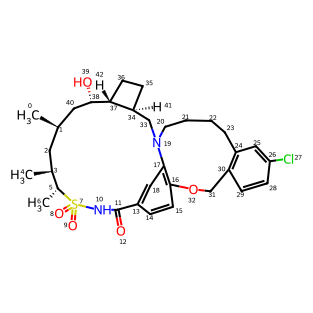 C[C@@H]1C[C@H](C)[C@@H](C)S(=O)(=O)NC(=O)c2ccc3c(c2)N(CCCCc2cc(Cl)ccc2CO3)C[C@@H]2CC[C@H]2[C@@H](O)C1